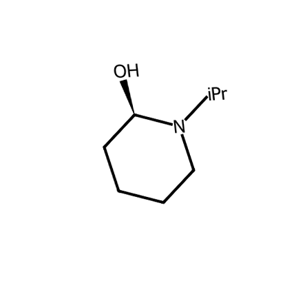 CC(C)N1CCCC[C@H]1O